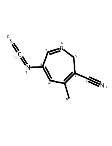 CC1=C(C#N)CB=CC(N=C=S)=C1